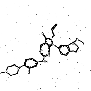 C=CCn1c(=O)c2cnc(Nc3ccc(N4CCN(C)CC4)c(C)c3)nc2n1-c1ccc2c(c1)[C@@](C)(OI)CC2